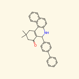 CC1(C)CC(=O)C2=C(C1)c1c(ccc3ccccc13)NC2c1ccc(-c2ccccc2)cc1